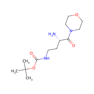 CC(C)(C)OC(=O)NCC[C@H](N)C(=O)N1CCOCC1